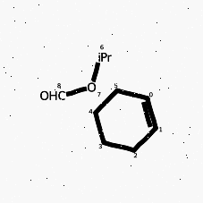 C1=CCCCC1.CC(C)OC=O